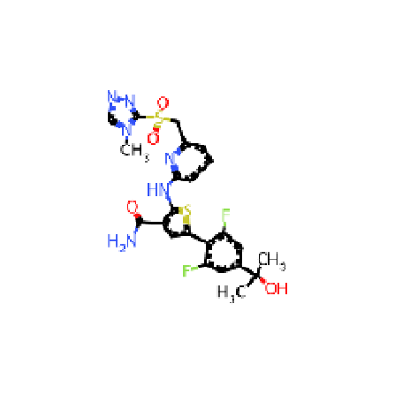 Cn1cnnc1S(=O)(=O)Cc1cccc(Nc2sc(-c3c(F)cc(C(C)(C)O)cc3F)cc2C(N)=O)n1